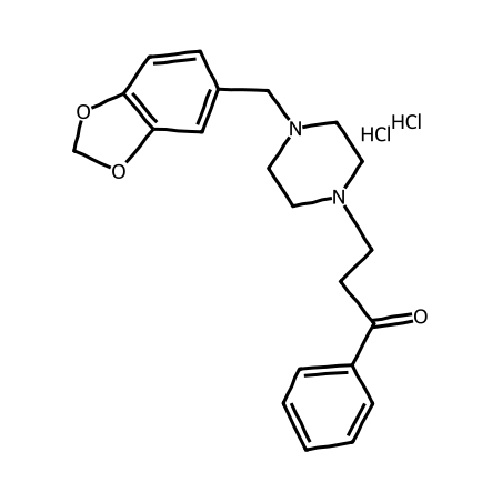 Cl.Cl.O=C(CCN1CCN(Cc2ccc3c(c2)OCO3)CC1)c1ccccc1